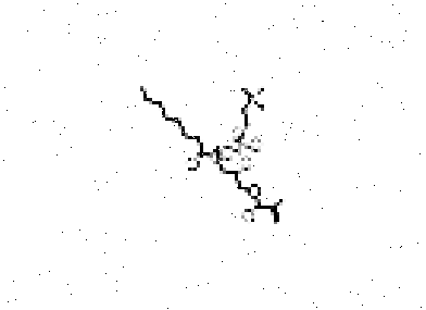 C=C(C)C(=O)OCC(COC(=O)CCCCCCC)OP(=O)(O)OCC[N+](C)(C)C